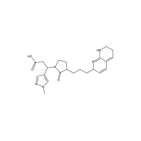 Cn1cc(C(CC(=O)O)N2CCC(CCCC3C=CC4=CCCNC4=N3)C2=O)cn1